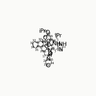 CC(C)C[C@H](NC(=O)[C@H](Cc1c[nH]cn1)NC(=O)C(CC(=O)N1CCOCC1)Cc1cccc2ccccc12)[C@@H](O)CC(=O)OC(C)C